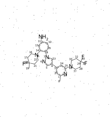 Cc1cc(-c2cnn(-c3ccc(N)cc3N3CCC(C)(F)CC3)c2)cc(N2CCC(F)(F)CC2)n1